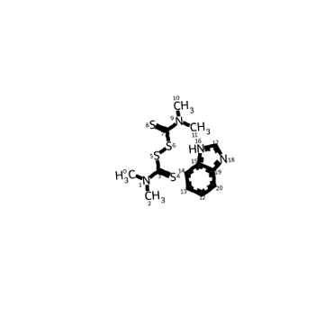 CN(C)C(=S)SSC(=S)N(C)C.c1ccc2[nH]cnc2c1